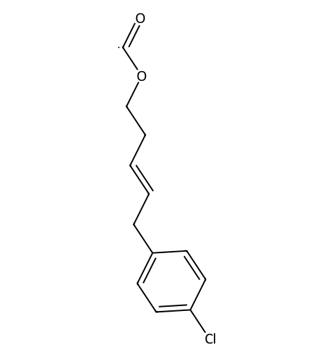 O=[C]OCCC=CCc1ccc(Cl)cc1